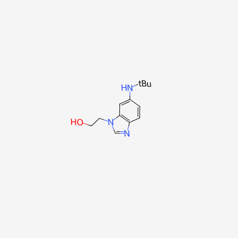 CC(C)(C)Nc1ccc2ncn(CCO)c2c1